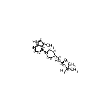 Cc1c[nH]c2ncnc(N3CCC(CNC(=O)OC(C)(C)C)CC3)c12